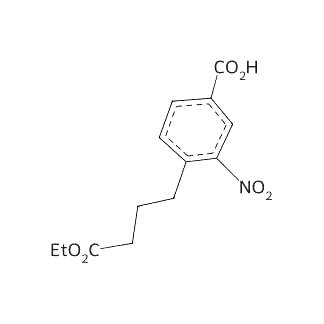 CCOC(=O)CCCc1ccc(C(=O)O)cc1[N+](=O)[O-]